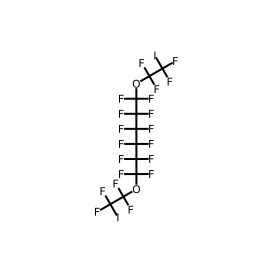 FC(F)(I)C(F)(F)OC(F)(F)C(F)(F)C(F)(F)C(F)(F)C(F)(F)C(F)(F)OC(F)(F)C(F)(F)I